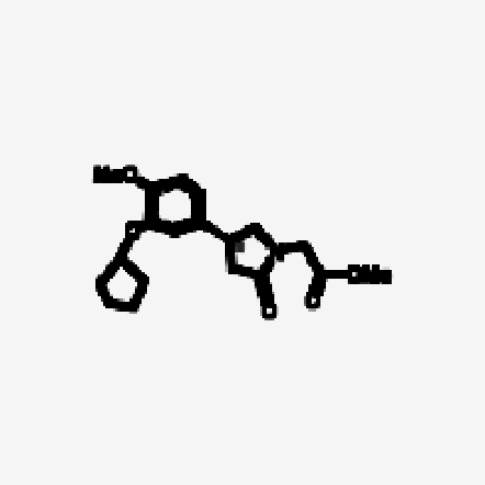 COC(=O)CN1C[C@H](c2ccc(OC)c(OC3CCCC3)c2)CC1=O